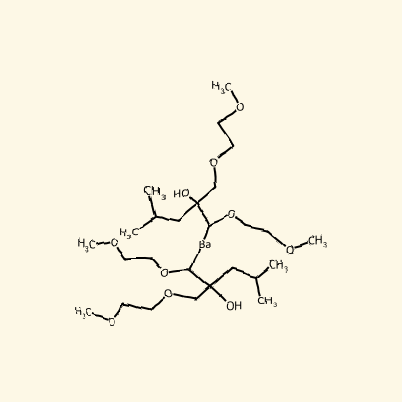 COCCOCC(O)(CC(C)C)[CH](OCCOC)[Ba][CH](OCCOC)C(O)(COCCOC)CC(C)C